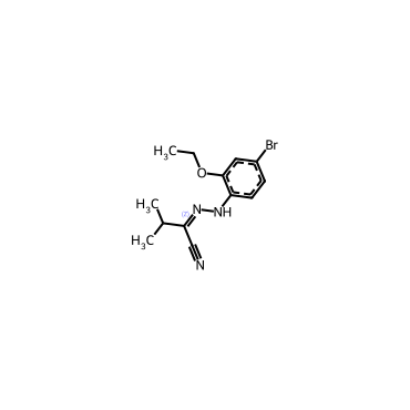 CCOc1cc(Br)ccc1N/N=C(\C#N)C(C)C